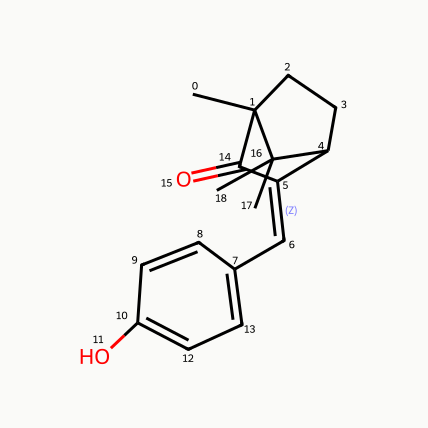 CC12CCC(/C(=C/c3ccc(O)cc3)C1=O)C2(C)C